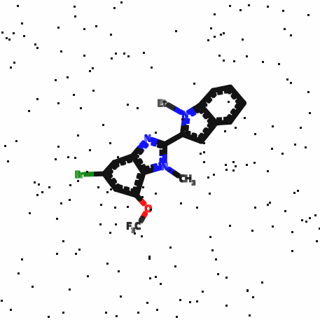 CCn1c(-c2nc3cc(Br)cc(OC(F)(F)F)c3n2C)cc2ccccc21